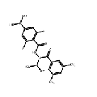 CCCC(N(NC(=O)c1c(F)cc(B(O)O)cc1F)C(=O)c1cc(C)cc(C)c1)C(C)(C)C